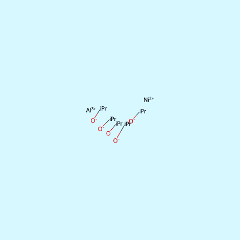 CC(C)[O-].CC(C)[O-].CC(C)[O-].CC(C)[O-].CC(C)[O-].[Al+3].[Ni+2]